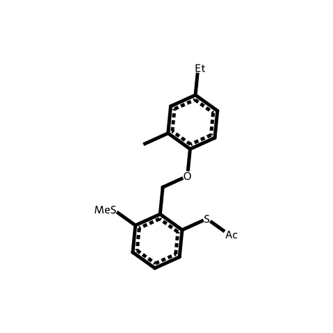 CCc1ccc(OCc2c(SC)cccc2SC(C)=O)c(C)c1